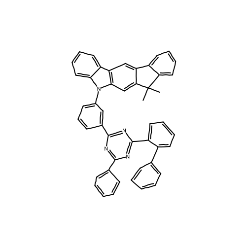 CC1(C)c2ccccc2-c2cc3c4ccccc4n(-c4cccc(-c5nc(-c6ccccc6)nc(-c6ccccc6-c6ccccc6)n5)c4)c3cc21